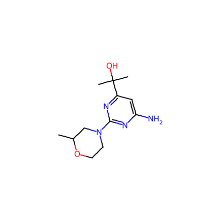 CC1CN(c2nc(N)cc(C(C)(C)O)n2)CCO1